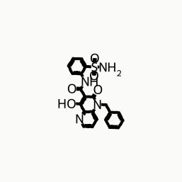 NS(=O)(=O)c1ccccc1NC(=O)c1c(O)c2ncccc2n(Cc2ccccc2)c1=O